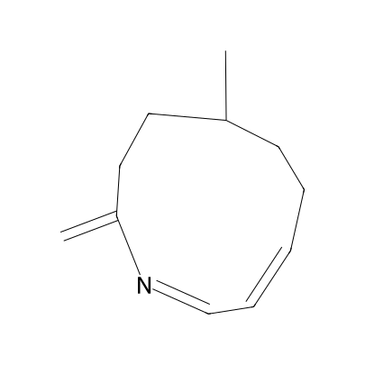 C=C1CCC(C)CC/C=C\C=N/1